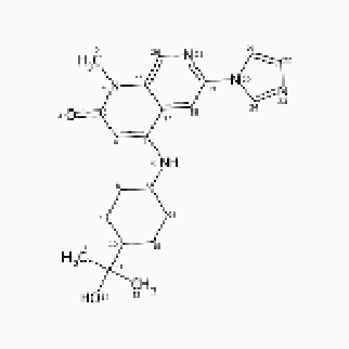 Cn1c(=O)cc(NC2CCC(C(C)(C)O)CC2)c2cc(-n3ccnc3)ncc21